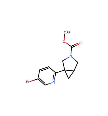 CC(C)(C)OC(=O)N1CC2CC2(c2ccc(Br)cn2)C1